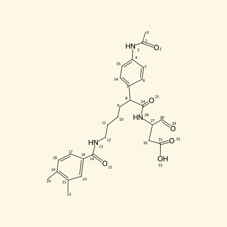 CC(=O)Nc1ccc(C(CCCCNC(=O)c2ccc(C)c(C)c2)C(=O)NC(C=O)CC(=O)O)cc1